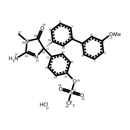 COc1cccc(-c2cccc([C@]3(c4ccc(OS(=O)(=O)C(F)(F)F)cc4)N=C(N)N(C)C3=O)c2)c1.Cl